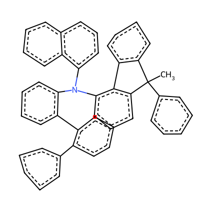 CC1(c2ccccc2)c2ccccc2-c2c(N(c3ccccc3-c3ccccc3-c3ccccc3)c3cccc4ccccc34)cccc21